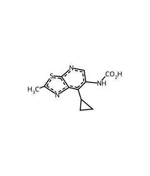 Cc1nc2c(C3CC3)c(NC(=O)O)cnc2s1